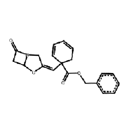 O=C1CC2O/C(=C/C3(C(=O)OCc4ccccc4)C=CC=CC3)CN12